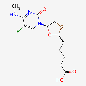 CNc1nc(=O)n([C@H]2CS[C@@H](CCCCC(=O)O)O2)cc1F